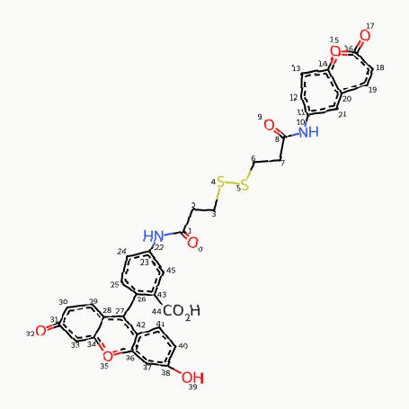 O=C(CCSSCCC(=O)Nc1ccc2oc(=O)ccc2c1)Nc1ccc(-c2c3ccc(=O)cc-3oc3cc(O)ccc23)c(C(=O)O)c1